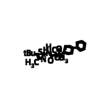 Cc1nc(NC(=O)C(C)(C)S(=O)(=O)c2ccc(-c3ccccc3)cc2)sc1C(C)(C)C